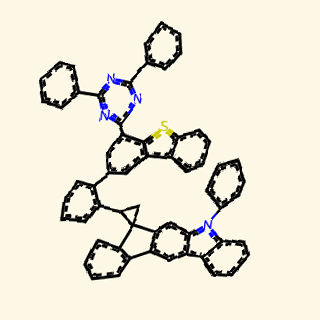 c1ccc(-c2nc(-c3ccccc3)nc(-c3cc(-c4ccccc4C4CC45c4ccccc4-c4cc6c7ccccc7n(-c7ccccc7)c6cc45)cc4c3sc3ccccc34)n2)cc1